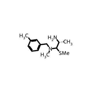 CSC([C@@H](C)N)N(C)Cc1cccc(C)c1